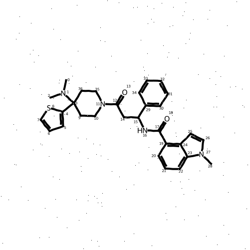 CN(C)C1(c2cccs2)CCN(C(=O)CC(NC(=O)c2cccc3c2ccn3C)c2ccccc2)CC1